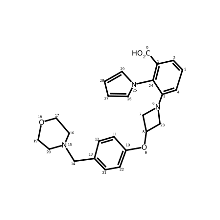 O=C(O)c1cccc(N2CC(Oc3ccc(CN4CCOCC4)cc3)C2)c1-n1cccc1